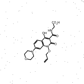 C=CCOn1c(=O)c(C(=O)NCC(=O)O)c(O)c2ccc(N3CCOCC3)cc21